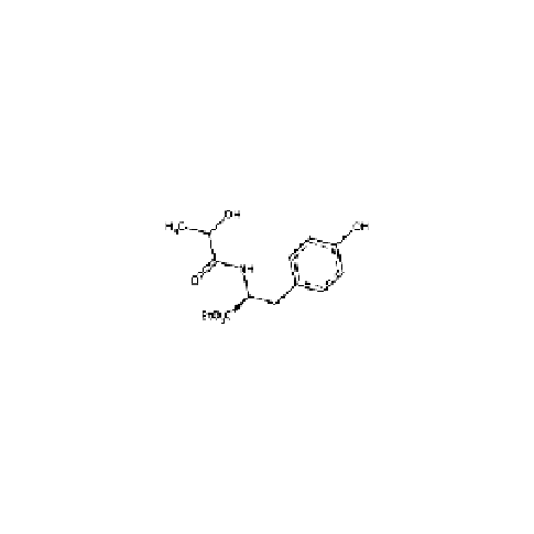 CCOC(=O)[C@H](Cc1ccc(O)cc1)NC(=O)C(C)O